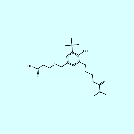 CN(C)C(=O)CCSCc1cc(CSCCC(=O)O)cc(C(C)(C)C)c1O